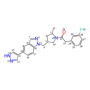 CC1CC(Cn2ncc3cc(-c4cn[nH]c4)ccc32)CN1C(=O)Cc1cccc(F)c1